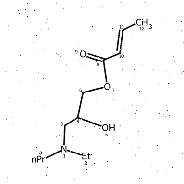 [CH2]CCN(CC)CC(O)COC(=O)C=CC